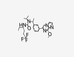 CCC(CCC(F)(F)F)NC(=O)N(C(C)C)C(C)c1cccc(-c2cn3ccnc3c(OC)n2)c1